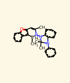 CB1c2c(oc3ccccc23)C=C(C)N1N1c2ccccc2N(c2ccccc2)C1(C)C